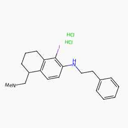 CNCC1CCCc2c1ccc(NCCc1ccccc1)c2I.Cl.Cl